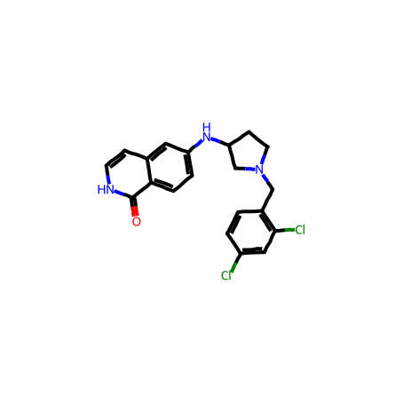 O=c1[nH]ccc2cc(NC3CCN(Cc4ccc(Cl)cc4Cl)C3)ccc12